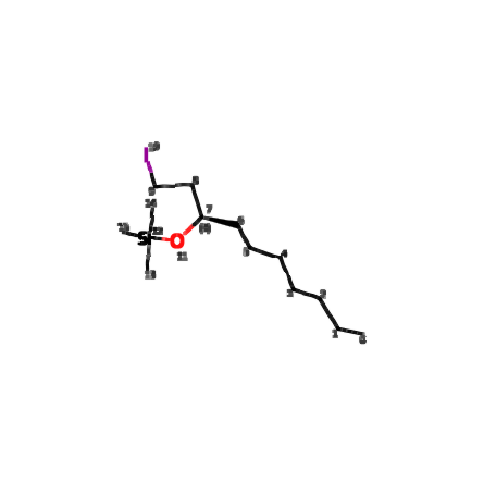 CCCCCCC[C@H](CCI)O[Si](C)(C)C